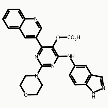 O=C(O)Oc1c(Nc2ccc3[nH]ncc3c2)nc(N2CCOCC2)nc1-c1cnc2ccccc2c1